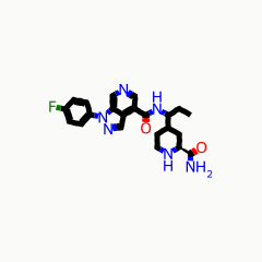 CCC(NC(=O)c1cncc2c1cnn2-c1ccc(F)cc1)C1CCN[C@H](C(N)=O)C1